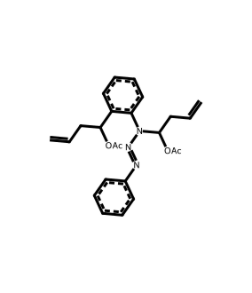 C=CCC(OC(C)=O)c1ccccc1N(N=Nc1ccccc1)C(CC=C)OC(C)=O